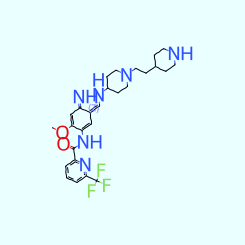 COC1=CC(=N)/C(=C\NC2CCN(CCC3CCNCC3)CC2)C=C1NC(=O)c1cccc(C(F)(F)F)n1